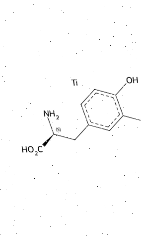 N[C@@H](Cc1ccc(O)c(O)c1)C(=O)O.[Ti]